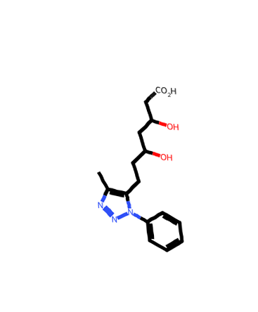 Cc1nnn(-c2ccccc2)c1CCC(O)CC(O)CC(=O)O